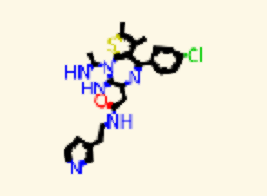 CC(=N)N1C(=N)C(CC(=O)NCCc2cccnc2)N=C(c2ccc(Cl)cc2)c2c1sc(C)c2C